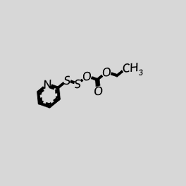 CCOC(=O)OSSc1ccccn1